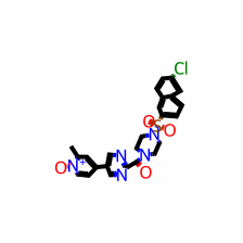 Cc1cc(-c2cnc(C(=O)N3CCN(S(=O)(=O)c4ccc5cc(Cl)ccc5c4)CC3)nc2)cc[n+]1[O-]